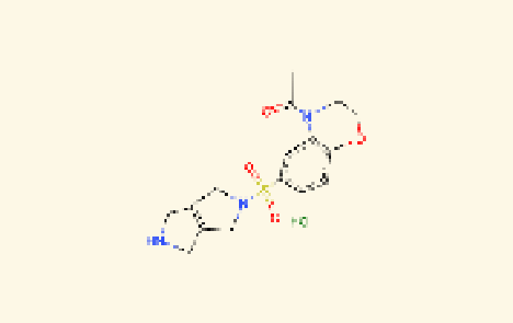 CC(=O)N1CCOc2ccc(S(=O)(=O)N3CC4=C(CNC4)C3)cc21.Cl